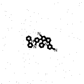 N#Cc1ccc2c(c1)c1ccccc1n2-c1ccccc1-c1cccc(C#N)c1-c1ccc(-n2c3ccccc3c3ccccc32)c(C#N)c1